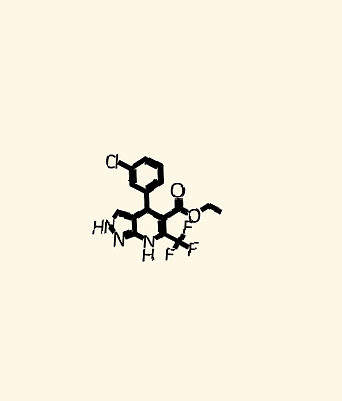 CCOC(=O)C1=C(C(F)(F)F)Nc2n[nH]cc2C1c1cccc(Cl)c1